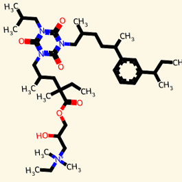 CCC(C)c1cccc(C(C)CCC(C)Cn2c(=O)n(CC(C)C)c(=O)n(CC(C)CC(C)(CC)C(=O)OCC(O)C[N+](C)(C)CC)c2=O)c1